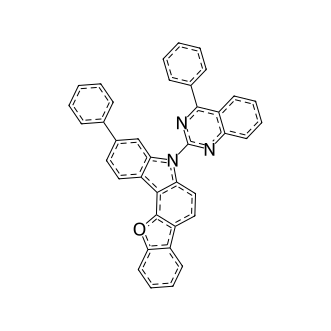 c1ccc(-c2ccc3c4c5oc6ccccc6c5ccc4n(-c4nc(-c5ccccc5)c5ccccc5n4)c3c2)cc1